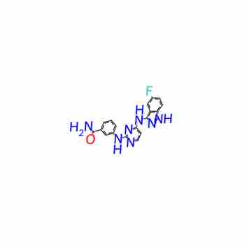 NC(=O)c1cccc(Nc2nccc(Nc3n[nH]c4ccc(F)cc34)n2)c1